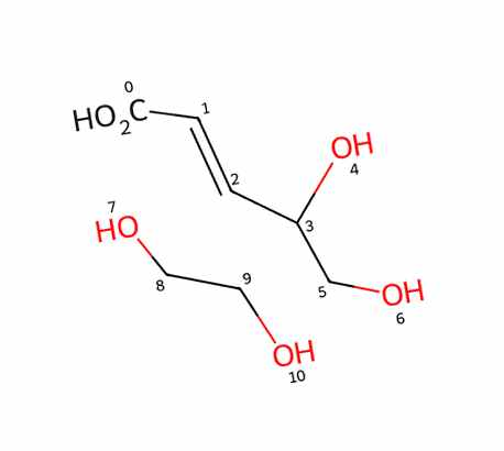 O=C(O)C=CC(O)CO.OCCO